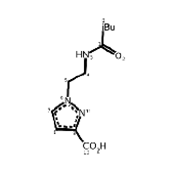 CCC(C)C(=O)NCCn1ccc(C(=O)O)n1